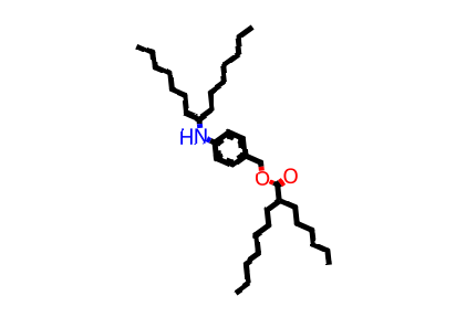 CCCCCCCC(CCCCCCC)Nc1ccc(COC(=O)C(CCCCCC)CCCCCCC)cc1